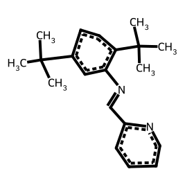 CC(C)(C)c1ccc(C(C)(C)C)c(N=Cc2ccccn2)c1